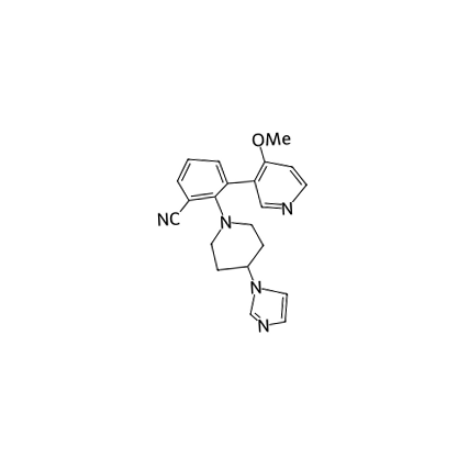 COc1ccncc1-c1cccc(C#N)c1N1CCC(n2ccnc2)CC1